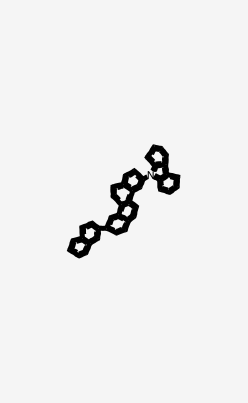 c1ccc2cc(-c3ccc4ccc5c6cc(-n7c8ccccc8c8ccccc87)ccc6ccc5c4c3)ccc2c1